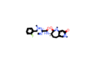 C=N/C(=N\N(C)Cc1ccccc1F)C(=O)N[C@H]1CCc2cn(C)c(=O)cc2N(C)C1=O